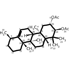 CC(=O)O[C@H]1C[C@]2(C)[C@H]3CC=C4[C@H](C)CCC[C@@]4(C)[C@]3(C)CC[C@H]2C(C)(C)[C@@H]1OC(C)=O